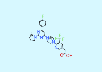 C[C@@H]1CN(c2ncc(CC(=O)O)cc2C(F)(F)F)CCN1c1cc(-c2ccc(F)cc2)nc(N2CCC[C@@H]2C)n1